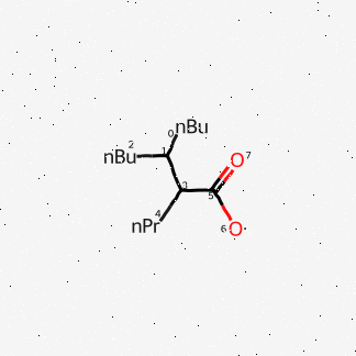 CCCCC(CCCC)C(CCC)C([O])=O